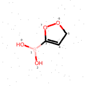 OB(O)C1=CCOO1